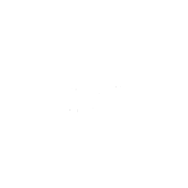 COS(C)(=O)=O.[Cu]